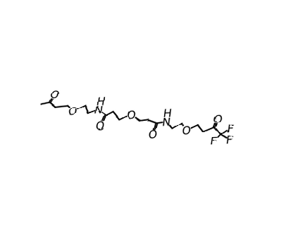 CC(=O)CCOCCNC(=O)CCOCCC(=O)NCCOCCC(=O)C(F)(F)F